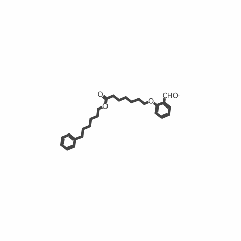 O=[C]c1ccccc1OCCCCCCC(=O)OCCCCCCc1ccccc1